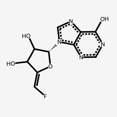 Oc1ncnc2c1ncn2[C@@H]1O/C(=C\F)C(O)C1O